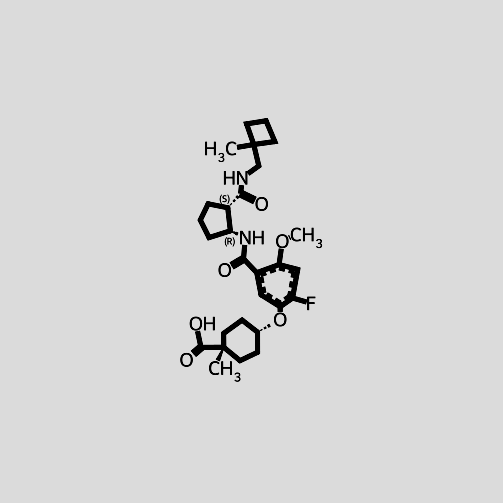 COc1cc(F)c(O[C@H]2CC[C@@](C)(C(=O)O)CC2)cc1C(=O)N[C@@H]1CCC[C@@H]1C(=O)NCC1(C)CCC1